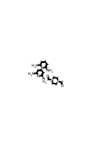 Nc1cccc(N)n1.Nc1cccc(N)n1.O=CN1CCN(C=O)CC1